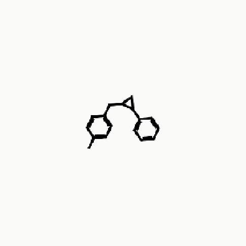 Cc1ccc(CC2CC2c2ccccc2)cc1